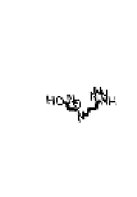 CN(CCCc1nnn[nH]1)c1cc(O)no1